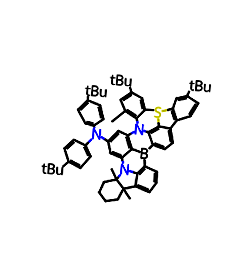 Cc1cc(C(C)(C)C)cc(C)c1N1c2cc(N(c3ccc(C(C)(C)C)cc3)c3ccc(C(C)(C)C)cc3)cc3c2B(c2cccc4c2N3C2(C)CCCCC42C)c2ccc3c(sc4cc(C(C)(C)C)ccc43)c21